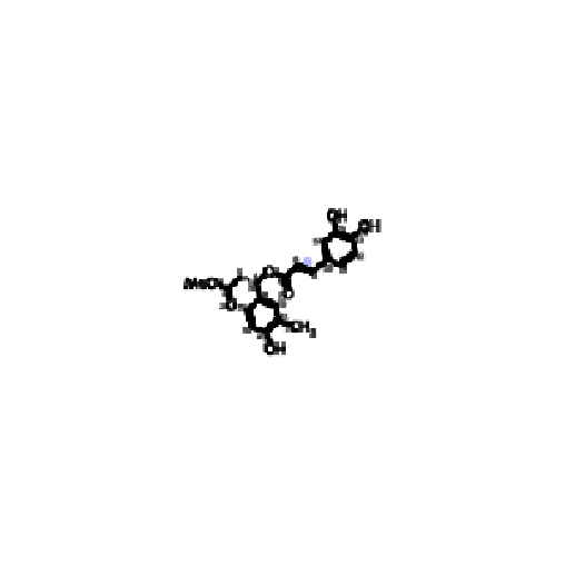 COC(=O)C[C@H](OC(=O)/C=C/c1ccc(O)c(O)c1)c1ccc(O)c(C)c1